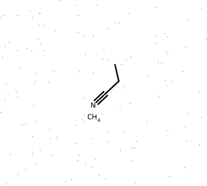 C.CCC#N